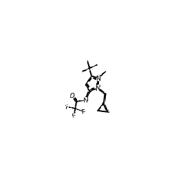 Cn1c(C(C)(C)C)cc(=NC(=O)C(F)(F)F)n1CC1CC1